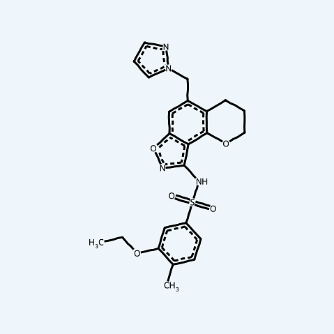 CCOc1cc(S(=O)(=O)Nc2noc3cc(Cn4cccn4)c4c(c23)OCCC4)ccc1C